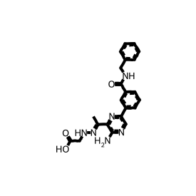 C/C(=N\NCC(=O)O)c1nc(-c2cccc(C(=O)NCc3ccccc3)c2)cnc1N